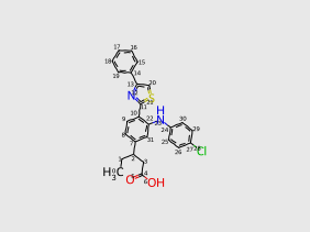 CCC(CC(=O)O)c1ccc(-c2nc(-c3ccccc3)cs2)c(Nc2ccc(Cl)cc2)c1